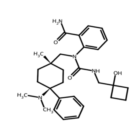 CN(C)[C@]1(c2ccccc2)CC[C@@](C)(CN(C(=O)NCC2(O)CCC2)c2ccccc2C(N)=O)CC1